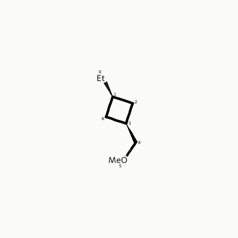 CC[C@H]1C[C@@H](COC)C1